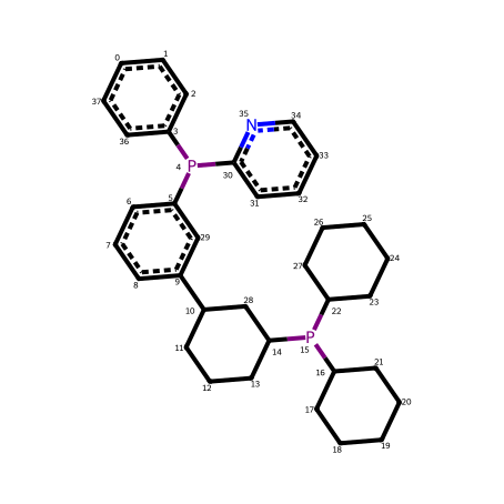 c1ccc(P(c2cccc(C3CCCC(P(C4CCCCC4)C4CCCCC4)C3)c2)c2ccccn2)cc1